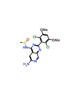 COc1cc(OC)c(Cl)c(-c2nc(N[S+](C)[O-])c3cc(N)ncc3n2)c1Cl